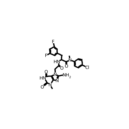 CN(C(=O)C(Cc1cc(F)cc(F)c1)NC(=O)Cn1c(N)nc2c1c(=O)[nH]c(=O)n2C)c1ccc(Cl)cc1